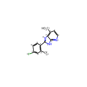 O=C(O)c1ccnc2[nH]c(-c3ccc(F)cc3C(F)(F)F)nc12